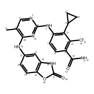 Cc1cnc(Nc2ccc(C(N)=O)c(C(F)(F)F)c2C2CC2)nc1Nc1ccc2oc(=O)[nH]c2c1